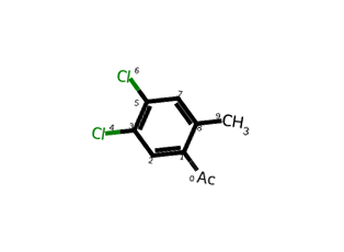 CC(=O)c1cc(Cl)c(Cl)cc1C